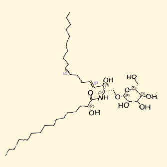 CCCCCCCCC/C=C\CC/C=C/[C@@H](O)[C@H](CO[C@@H]1O[C@H](CO)[C@@H](O)C(O)C1O)NC(=O)[C@H](O)CCCCCCCCCCCCCC